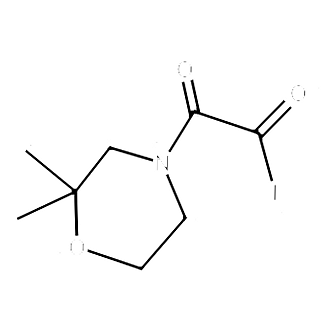 CC1(C)CN(C(=O)C(=O)I)CCO1